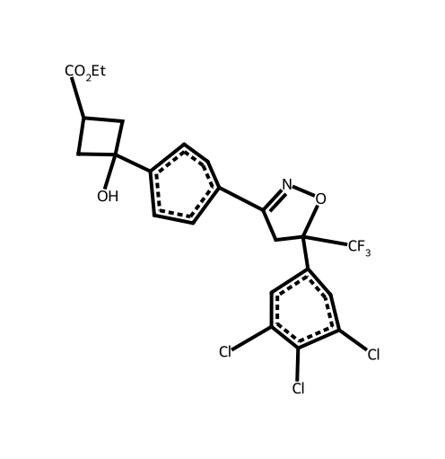 CCOC(=O)C1CC(O)(c2ccc(C3=NOC(c4cc(Cl)c(Cl)c(Cl)c4)(C(F)(F)F)C3)cc2)C1